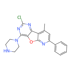 Cc1cc(-c2ccccc2)nc2oc3c(N4CCNCC4)nc(Cl)nc3c12